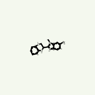 Cn1c(C2COc3ccccc3O2)nc2ccc(Br)cc21